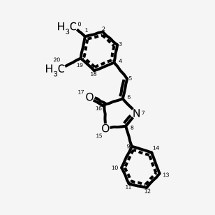 Cc1ccc(C=C2N=C(c3ccccc3)OC2=O)cc1C